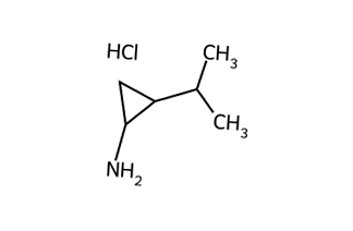 CC(C)C1CC1N.Cl